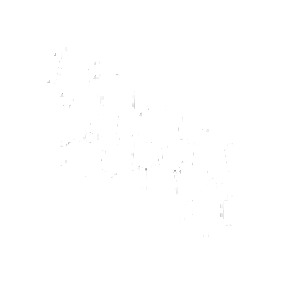 c1ccc(-c2cccc3c4ccccc4c4ccccc4c23)c(-c2ccc3ccccc3c2-c2cccc3c2ccc2ccccc23)c1